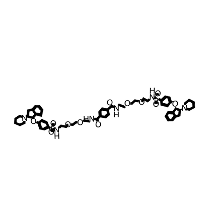 O=C(NCCOCCOCCNS(=O)(=O)c1ccc(O[C@H]2c3ccccc3C[C@@H]2N2CCCCC2)cc1)c1ccc(C(=O)NCCOCCOCCNS(=O)(=O)c2ccc(O[C@H]3c4ccccc4C[C@@H]3N3CCCCC3)cc2)cc1